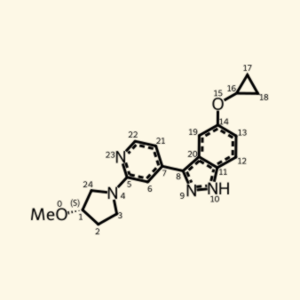 CO[C@H]1CCN(c2cc(-c3n[nH]c4ccc(OC5CC5)cc34)ccn2)C1